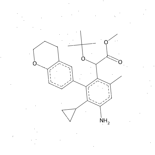 COC(=O)C(OC(C)(C)C)c1c(C)cc(N)c(C2CC2)c1-c1ccc2c(c1)CCCO2